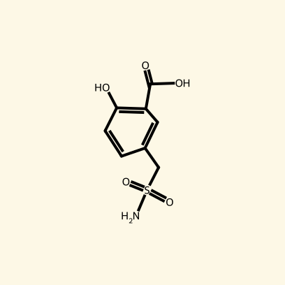 NS(=O)(=O)Cc1ccc(O)c(C(=O)O)c1